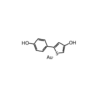 Oc1ccc(-c2cc(O)cs2)cc1.[Au]